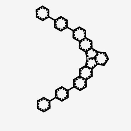 c1ccc(-c2ccc(-c3ccc4cc5c6cccc7c8cc9ccc(-c%10ccc(-c%11ccccc%11)cc%10)cc9cc8n(c5cc4c3)c67)cc2)cc1